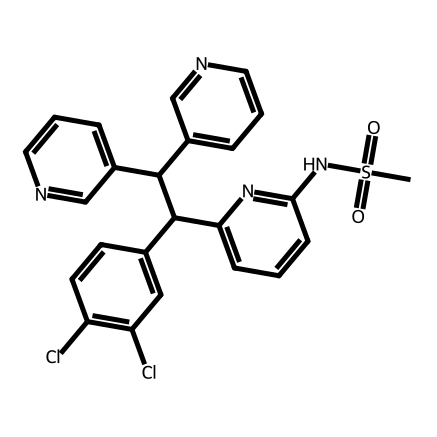 CS(=O)(=O)Nc1cccc(C(c2ccc(Cl)c(Cl)c2)C(c2cccnc2)c2cccnc2)n1